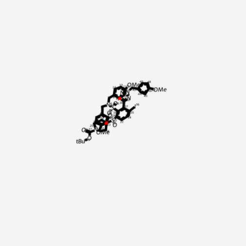 COc1ccc(CN(Cc2ccc(OC)cc2)S(=O)(=O)c2c(S(=O)(=O)C3CCN(C(=O)OC(C)(C)C)CC3)ccc(I)c2-c2nnn(Cc3ccc(OC)cc3)n2)cc1